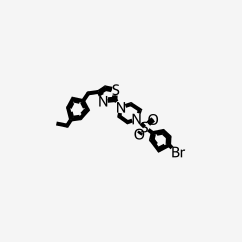 CCc1ccc(Cc2csc(N3CCN(S(=O)(=O)c4ccc(Br)cc4)CC3)n2)cc1